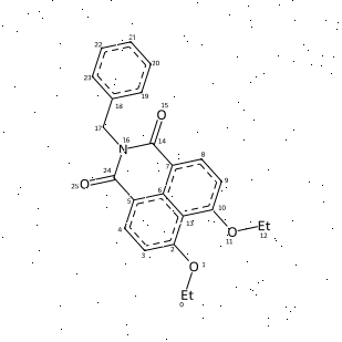 CCOc1ccc2c3c(ccc(OCC)c13)C(=O)N(Cc1ccccc1)C2=O